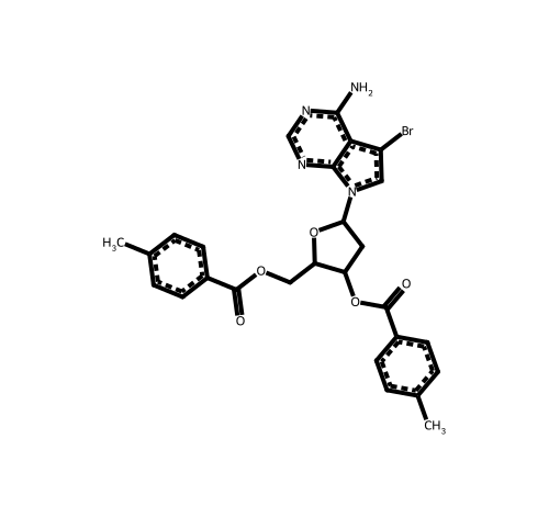 Cc1ccc(C(=O)OCC2OC(n3cc(Br)c4c(N)ncnc43)CC2OC(=O)c2ccc(C)cc2)cc1